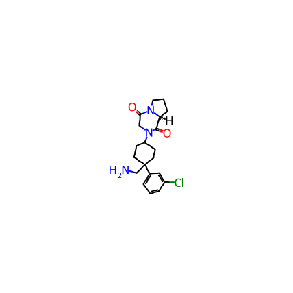 NCC1(c2cccc(Cl)c2)CCC(N2CC(=O)N3CCC[C@@H]3C2=O)CC1